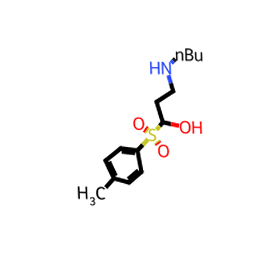 CCCCNCCC(O)S(=O)(=O)c1ccc(C)cc1